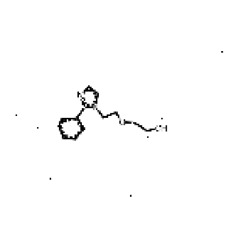 OCCOCCn1ccnc1-c1ccccc1